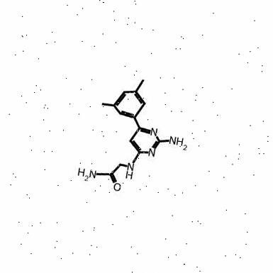 Cc1cc(C)cc(-c2cc(NCC(N)=O)nc(N)n2)c1